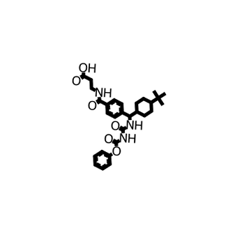 CC(C)(C)C1CCC(C(NC(=O)NC(=O)Oc2ccccc2)c2ccc(C(=O)NCCC(=O)O)cc2)CC1